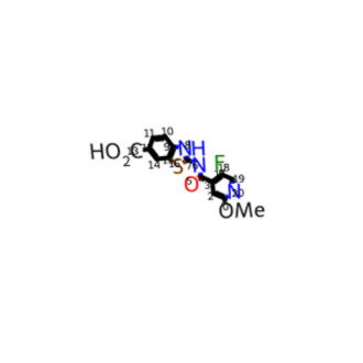 COc1cc(C(=O)Nc2nc3ccc(C(=O)O)cc3s2)c(F)cn1